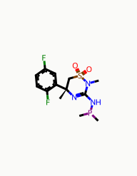 CN1C(NP(C)C)=N[C@](C)(c2cc(F)ccc2F)CS1(=O)=O